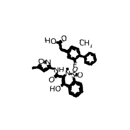 C.Cc1cc(NC(=O)C2=C(O)c3ccccc3S(=O)(=O)N2C)no1.O=C(O)Cc1ccc(-c2ccccc2)c(F)c1